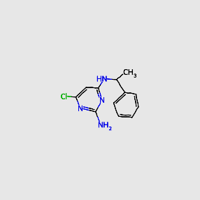 CC(Nc1cc(Cl)nc(N)n1)c1ccccc1